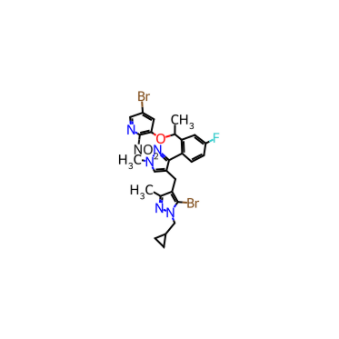 Cc1nn(CC2CC2)c(Br)c1Cc1cn(C)nc1-c1ccc(F)cc1C(C)Oc1cc(Br)cnc1[N+](=O)[O-]